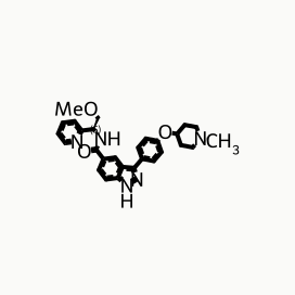 COC[C@@H](NC(=O)c1ccc2[nH]nc(-c3ccc(OC4CCN(C)CC4)cc3)c2c1)c1ccccn1